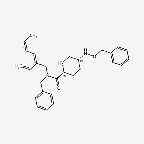 C=C/C(=C\C=C/C)CN(Cc1ccccc1)C(=O)[C@@H]1CC[C@@H](NOCc2ccccc2)CN1